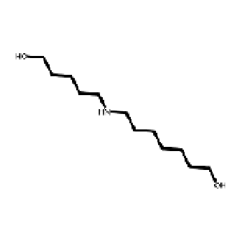 OCCCCCCCNCCCCCO